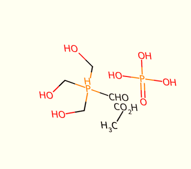 CC(=O)O.O=C[PH](CO)(CO)CO.O=P(O)(O)O